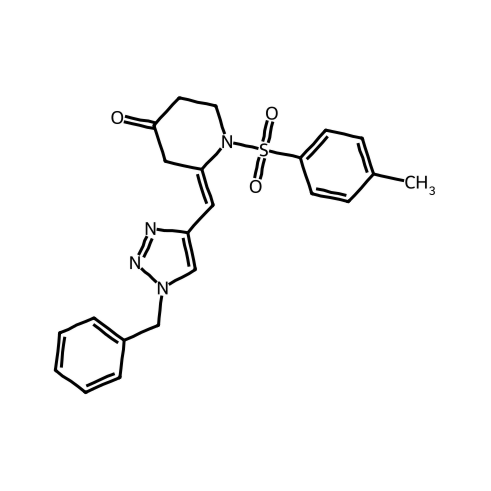 Cc1ccc(S(=O)(=O)N2CCC(=O)CC2=Cc2cn(Cc3ccccc3)nn2)cc1